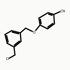 N#Cc1ccc(OCc2cccc(CCl)c2)cc1